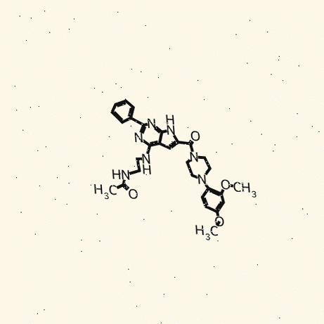 COc1ccc(N2CCN(C(=O)c3cc4c(NCCNC(C)=O)nc(-c5ccccc5)nc4[nH]3)CC2)c(OC)c1